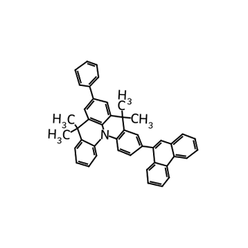 CC1(C)c2ccccc2N2c3ccc(-c4cc5ccccc5c5ccccc45)cc3C(C)(C)c3cc(-c4ccccc4)cc1c32